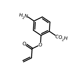 C=CC(=O)Oc1cc(N)ccc1C(=O)O